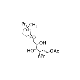 CCCC(C=COC(C)=O)C(O)C(O)CO[C@H]1CCC[C@@](C)(C(C)C)C1